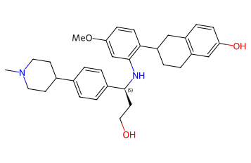 COc1ccc(C2CCc3cc(O)ccc3C2)c(N[C@@H](CCO)c2ccc(C3CCN(C)CC3)cc2)c1